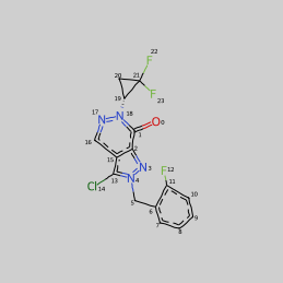 O=c1c2nn(Cc3ccccc3F)c(Cl)c2cnn1[C@@H]1CC1(F)F